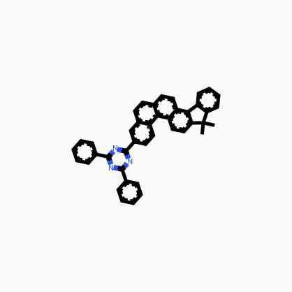 CC1(C)c2ccccc2-c2c1ccc1c2ccc2ccc3cc(-c4nc(-c5ccccc5)nc(-c5ccccc5)n4)ccc3c21